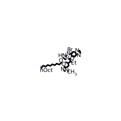 CCCCCCCC/C=C\CCCCCCCC(=O)OCC(Cc1cncn1C)C(CC)C(=O)N1CCN/C1=N/c1ccc2nccnc2c1Br